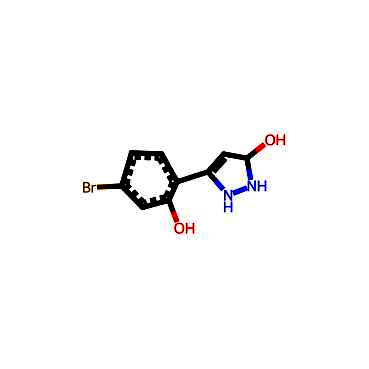 Oc1cc(Br)ccc1C1=CC(O)NN1